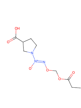 CCC(=O)OCO/N=[N+](\[O-])N1CCC(C(=O)O)C1